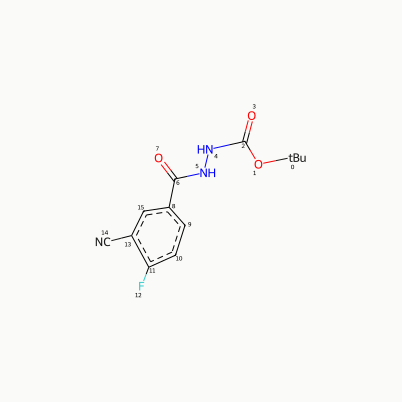 CC(C)(C)OC(=O)NNC(=O)c1ccc(F)c(C#N)c1